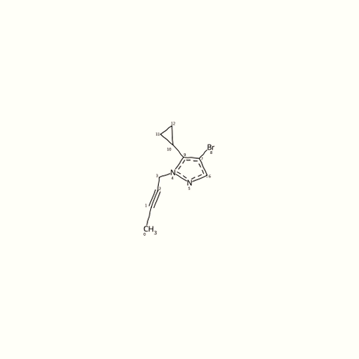 CC#CCn1n[c]c(Br)c1C1CC1